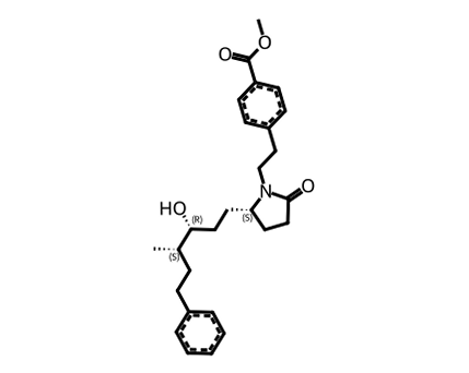 COC(=O)c1ccc(CCN2C(=O)CC[C@@H]2CC[C@@H](O)[C@@H](C)CCc2ccccc2)cc1